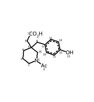 CC(=O)N1CCCC(CC(=O)O)(Cc2ccc(O)cc2)C1